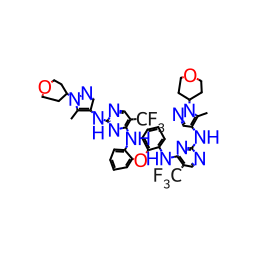 Cc1c(Nc2ncc(C(F)(F)F)c(Nc3ccccc3Oc3ccccc3Nc3nc(Nc4cnn(C5CCOCC5)c4C)ncc3C(F)(F)F)n2)cnn1C1CCOCC1